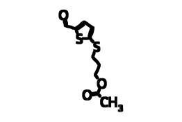 CC(=O)OCCCSc1ccc(C=O)s1